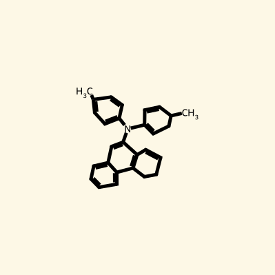 Cc1ccc(N(C2=CCC(C)C=C2)c2cc3ccccc3c3c2C=CCC3)cc1